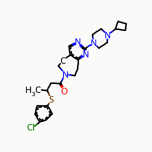 CC(CC(=O)N1CCc2cnc(N3CCN(C4CCC4)CC3)nc2CC1)Sc1ccc(Cl)cc1